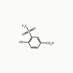 O=C(O)c1ccc(S)c(S(=O)(=O)C(F)(F)F)c1